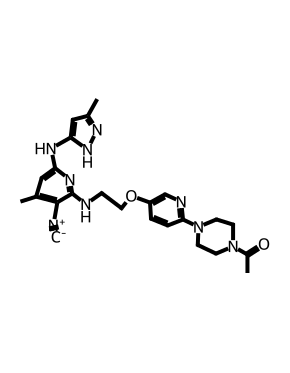 [C-]#[N+]c1c(C)cc(Nc2cc(C)n[nH]2)nc1NCCOc1ccc(N2CCN(C(C)=O)CC2)nc1